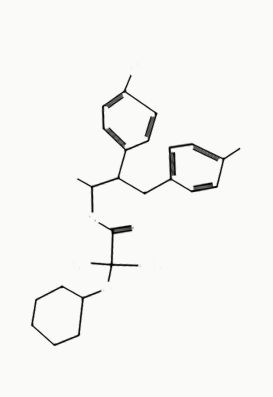 CC(NC(=O)C(C)(C)OC1CCCCC1)C(Cc1ccc(Cl)cc1)c1ccc(Cl)cc1